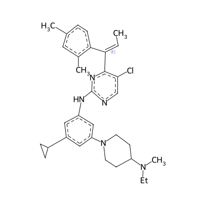 C/C=C(\c1ccc(C)cc1C)c1nc(Nc2cc(C3CC3)cc(N3CCC(N(C)CC)CC3)c2)ncc1Cl